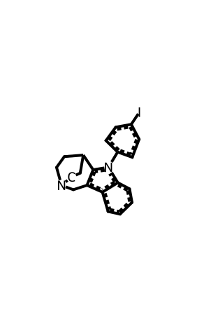 Ic1ccc(-n2c3c(c4ccccc42)CN2CCC3CC2)cc1